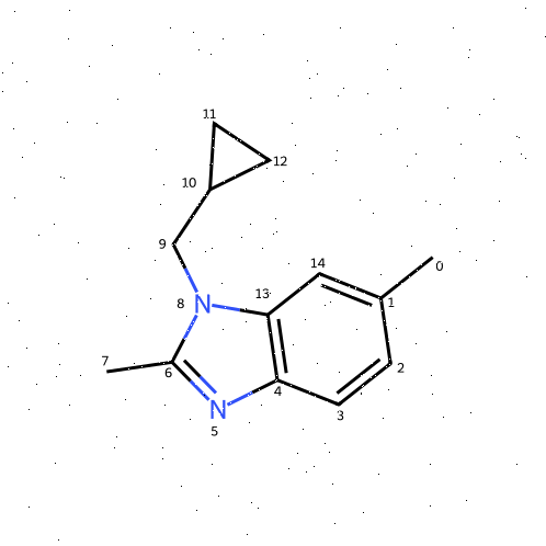 Cc1ccc2nc(C)n(CC3CC3)c2c1